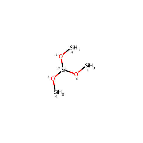 [SiH3]O[Si](O[SiH3])O[SiH3]